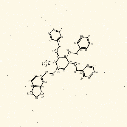 C[C@@H]1[C@@H](OCc2ccccc2)[C@H](OCc2ccccc2)[C@@H](OCc2ccccc2)CN1CCc1ccc2c(c1)OCO2